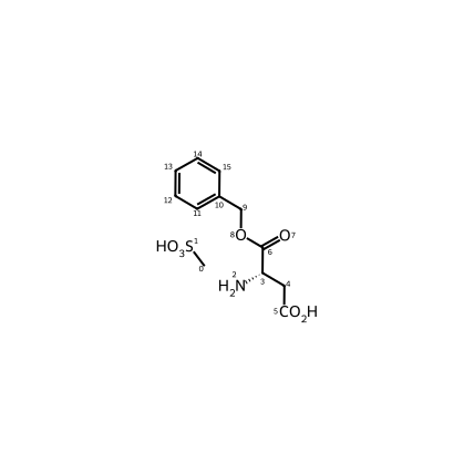 CS(=O)(=O)O.N[C@@H](CC(=O)O)C(=O)OCc1ccccc1